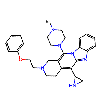 CC(=O)N1CCN(c2c3c(c(C4CN4)c4nc5ccccc5n24)CCN(CCOc2ccccc2)C3)CC1